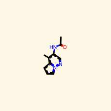 CC(=O)Nc1cnn2cccc2c1C